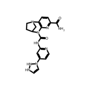 NC(=O)c1ccc2c(n1)N(C(=O)Nc1cc(N3C=CNN3)ccn1)C1CCN2C1